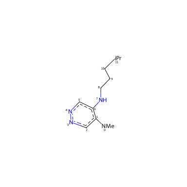 CNc1cnncc1NCCCC(C)C